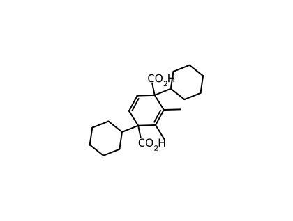 CC1=C(C)C(C(=O)O)(C2CCCCC2)C=CC1(C(=O)O)C1CCCCC1